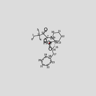 CCC(C)(C)C(=O)C(=O)N1CCCC[C@@]1(CCCc1ccccc1)C(=O)O